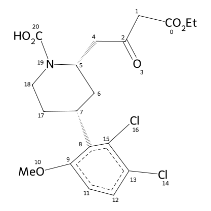 CCOC(=O)CC(=O)C[C@@H]1C[C@H](c2c(OC)ccc(Cl)c2Cl)CCN1C(=O)O